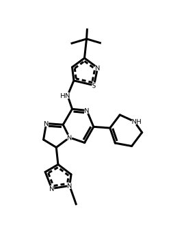 Cn1cc(C2CN=C3C(Nc4cc(C(C)(C)C)ns4)=NC(C4=CCCNC4)=CN32)cn1